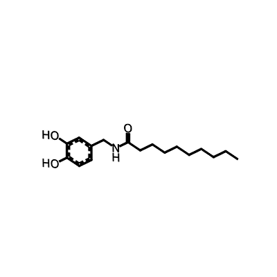 CCCCCCCCCC(=O)NCc1ccc(O)c(O)c1